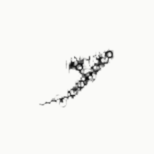 CCCCCCOC(=O)CCN1CCC(N2CCN(C(=O)[C@@H](Cc3cc(Cl)c(N)c(C(F)(F)F)c3)OC(=O)N3CCC(N4CCc5ccccc5NC4=O)CC3)CC2)CC1